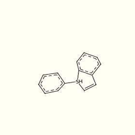 [C]1=Cc2ccccc2[SH]1c1ccccc1